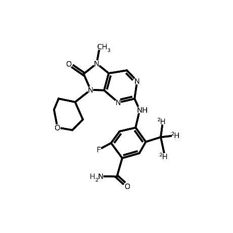 [2H]C([2H])([2H])c1cc(C(N)=O)c(F)cc1Nc1ncc2c(n1)n(C1CCOCC1)c(=O)n2C